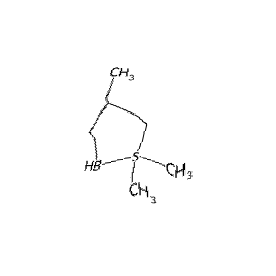 CC1CBS(C)(C)C1